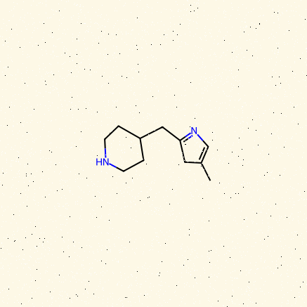 CC1=CN=C(CC2CCNCC2)C1